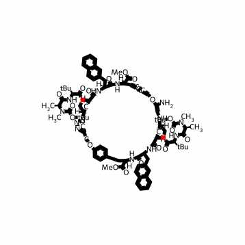 COC(=O)[C@@H]1Cc2ccc(cc2)OCc2cn(nn2)[C@H]2C[C@@H](C(=O)N[C@@H](Cc3ccc4ccccc4c3)C(=O)N[C@H](C(=O)OC)c3ccc(cc3)O/C(N)=C/N[C@H]3C[C@@H](C(=O)NC(Cc4ccc5ccccc5c4)C(=O)N1)N(C(=O)[C@@H](NC(=O)[C@H](C)N(C)C(=O)OC(C)(C)C)C(C)(C)C)C3)N(C(=O)[C@@H](NC(=O)[C@H](C)N(C)C(=O)OC(C)(C)C)C(C)(C)C)C2